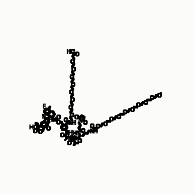 CC[C@@]1(O)C(=O)OCc2c1cc1n(c2=O)Cc2c-1nc1cc(F)c(C)c3c1c2[C@@H](NC(=O)OCc1ccc(NC(=O)[C@H](C)NC(=O)[C@@H](NC(=O)[C@H](CCCCNC(=O)COCCOCCOCCOCCOCCOCCOCCOCCOCCOC)NC(=O)CCCN2C(=O)C=CC2=O)C(C)C)cc1C(=O)NCCOCCOCCOCCOCCOCCOCCOCCOCCC(=O)O)CC3